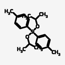 Cc1ccc([Si](OC(C)C)(OC(C)C)c2ccc(C)cc2)cc1